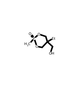 CCC1(CO)COP(C)(=O)OC1